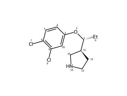 CC[C@@H](Oc1ccc(Cl)c(Cl)c1)[C@H]1CCNC1